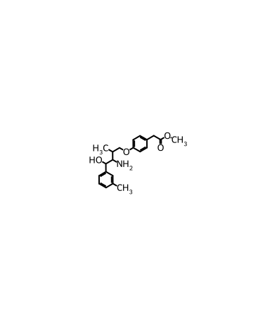 COC(=O)Cc1ccc(OCC(C)C(N)C(O)c2cccc(C)c2)cc1